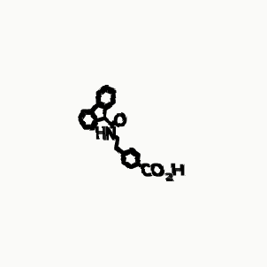 O=C(O)c1ccc(CCNC(=O)C2c3ccccc3-c3ccccc32)cc1